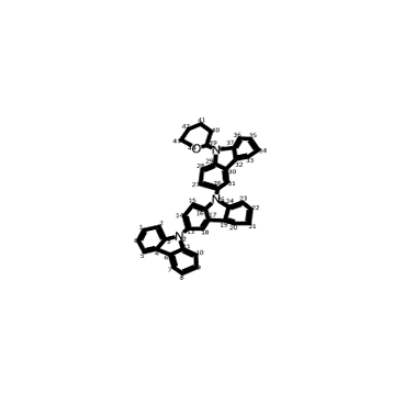 c1ccc2c(c1)c1ccccc1n2-c1ccc2c(c1)c1ccccc1n2-c1ccc2c(c1)c1ccccc1n2C1CCCCO1